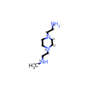 CNCCN1CCN(CCN)CC1